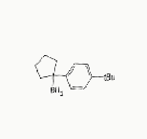 BC1(c2ccc(C(C)(C)C)cc2)CCCC1